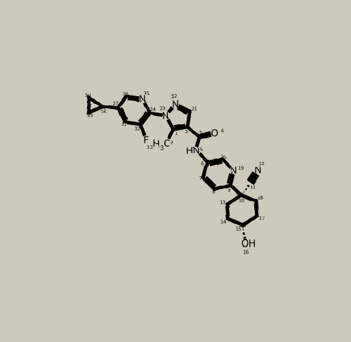 Cc1c(C(=O)Nc2ccc([C@]3(C#N)CC[C@@H](O)CC3)nc2)cnn1-c1ncc(C2CC2)cc1F